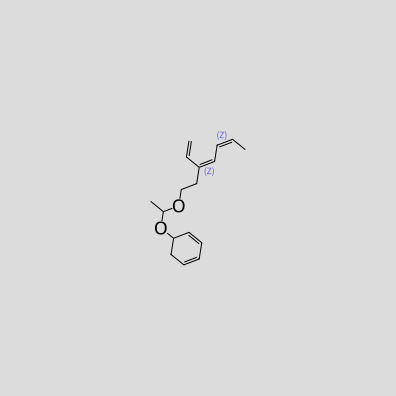 C=C/C(=C\C=C/C)CCOC(C)OC1C=CC=CC1